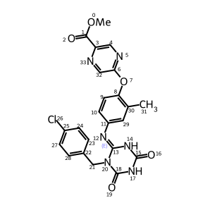 COC(=O)c1cnc(Oc2ccc(/N=c3\[nH]c(=O)[nH]c(=O)n3Cc3ccc(Cl)cc3)cc2C)cn1